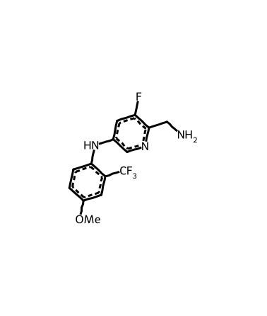 COc1ccc(Nc2cnc(CN)c(F)c2)c(C(F)(F)F)c1